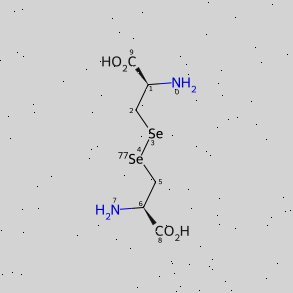 N[C@@H](C[Se][77Se]C[C@H](N)C(=O)O)C(=O)O